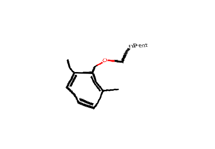 CCCCCCOc1c(C)cccc1C